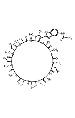 CC[C@@H]1NC(=O)[C@H]([C@H](O)[C@H](C)Cc2nc3cc(NC(=N)N)ccc3[nH]2)NC(=O)[C@H](C(C)C)N(C)C(=O)[C@H](CC(C)C)N(C)C(=O)[C@H](CC(C)C)N(C)C(=O)[C@@H](C)NC(=O)[C@H](C)NC(=O)[C@H](CC(C)C)N(C)C(=O)[C@H](C(C)C)NC(=O)[C@H](CC(C)C)N(C)C(=O)CN(C)C1=O